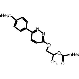 CCCCCCCc1ccc(-c2ccc(OCC(OC(=O)CCCCCC)C(F)(F)F)nn2)cc1